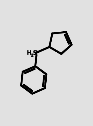 C1=CCC([SiH2]c2ccccc2)C1